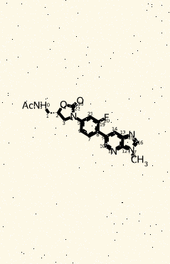 CC(=O)NC[C@H]1CN(c2ccc(-c3cnc4c(c3)ncn4C)c(F)c2)C(=O)O1